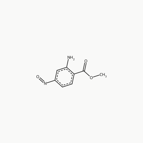 COC(=O)c1ccc(N=O)cc1N